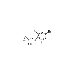 N#CC1(COc2c(F)cc(Br)cc2F)CC1